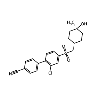 C[C@]1(O)CC[C@H](CS(=O)(=O)c2ccc(-c3ccc(C#N)cc3)c(Cl)c2)CC1